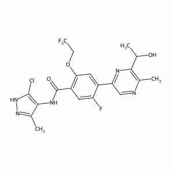 Cc1ncc(-c2cc(OCC(F)(F)F)c(C(=O)Nc3c(C)n[nH]c3Cl)cc2F)nc1C(C)O